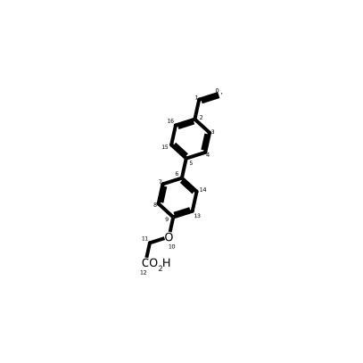 [CH]=Cc1ccc(-c2ccc(OCC(=O)O)cc2)cc1